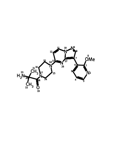 COc1ncccc1-c1cnn2ccc(N3CCN(C(=O)C(C)(C)N)CC3)nc12